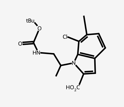 Cc1ccc2cc(C(=O)O)n(C(C)CNC(=O)OC(C)(C)C)c2c1Cl